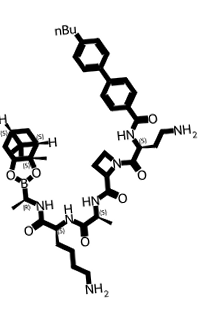 CCCCc1ccc(-c2ccc(C(=O)N[C@@H](CCN)C(=O)N3CCC3C(=O)N[C@@H](C)C(=O)N[C@@H](CCCCN)C(=O)N[C@@H](C)B3OC4C[C@@H]5C[C@@H](C5(C)C)[C@]4(C)O3)cc2)cc1